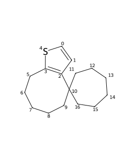 c1cc2c(s1)CCCCCC21CCCCCC1